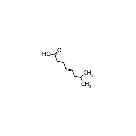 CC(C)CC=CCCC(=O)O